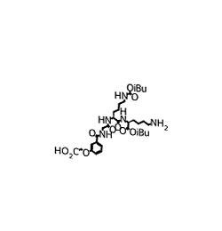 CC(C)COC(=O)NCCCC[C@H](NC(=O)CNC(=O)c1cccc(OCC(=O)O)c1)C(=O)N[C@@H](CCCCN)C(=O)OCC(C)C